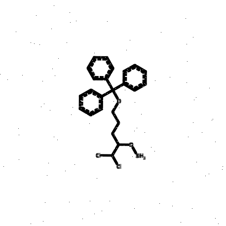 [SiH3]OC(CCCOC(c1ccccc1)(c1ccccc1)c1ccccc1)C(Cl)Cl